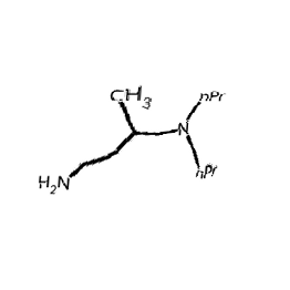 CCCN(CCC)C(C)CCN